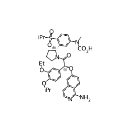 CCOc1cc([C@H](Oc2ccc3c(N)nccc3c2)C(=O)N2CCC[C@@H]2c2cc(N(C)C(=O)O)ccc2S(=O)(=O)C(C)C)ccc1OC(C)C